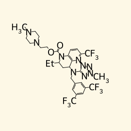 CCC1CC(N(Cc2cc(C(F)(F)F)cc(C(F)(F)F)c2)c2nnn(C)n2)c2nc(C(F)(F)F)ccc2N1C(=O)OCCN1CCN(C)CC1